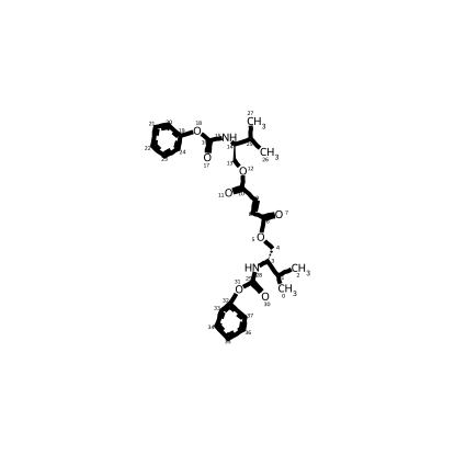 CC(C)[C@@H](COC(=O)/C=C/C(=O)OC[C@@H](NC(=O)Oc1ccccc1)C(C)C)NC(=O)Oc1ccccc1